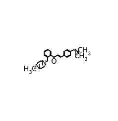 CN(C)Cc1ccc(C=CC(=O)c2ccccc2CN2CCN(C)CC2)cc1